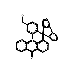 CCc1ccc2c(c1)-n1c3ncccc3c(=O)c3cccc(c31)C21c2ccccc2-c2ccccc21